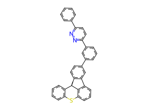 CC12c3ccccc3Sc3cccc(c31)-c1cc(-c3cccc(-c4ccc(-c5ccccc5)nn4)c3)ccc12